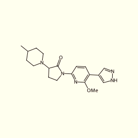 COc1nc(N2CCC(N3CCC(C)CC3)C2=O)ccc1-c1cn[nH]c1